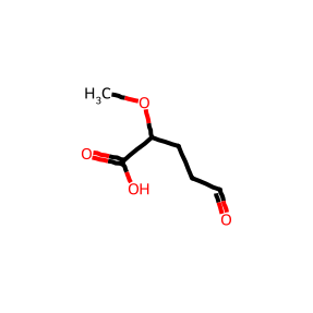 COC(CCC=O)C(=O)O